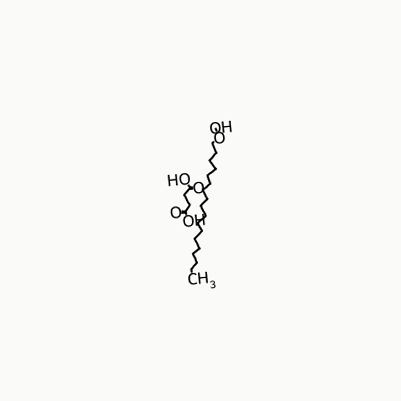 CCCCCCCCCCCCCCCCCCOO.O=C(O)CCC(=O)O